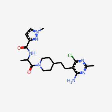 Cc1nc(N)c(CCC2CCN(C(=O)C(C)NC(=O)c3ccn(C)n3)CC2)c(Cl)n1